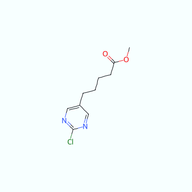 COC(=O)CCCCc1cnc(Cl)nc1